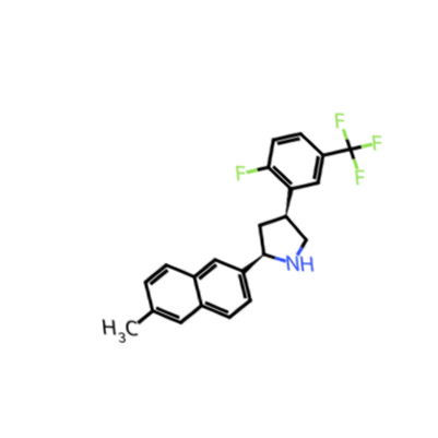 Cc1ccc2cc([C@H]3C[C@@H](c4cc(C(F)(F)F)ccc4F)CN3)ccc2c1